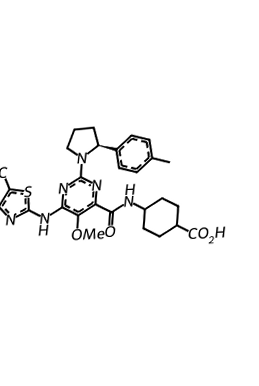 COc1c(Nc2ncc(C#N)s2)nc(N2CCC[C@H]2c2ccc(C)cc2)nc1C(=O)NC1CCC(C(=O)O)CC1